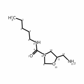 CCCCCNC(=O)N1COC(CN)C1